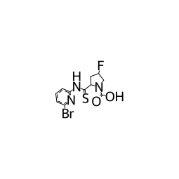 O=C(O)N1CC(F)CC1C(=S)Nc1cccc(Br)n1